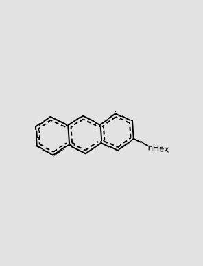 CCCCCCc1c[c]c2cc3ccccc3cc2c1